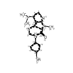 CN(C)c1ccnc2c1c1ncn(-c3ccc(S)cc3)c(=O)c1n2C